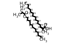 C=C(C)C(=O)OCCCCCCCCCCCC.CCCCCCCCCCCCC=C(C)C(=O)O